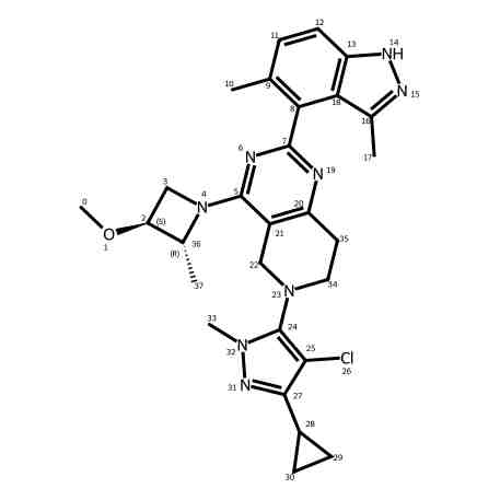 CO[C@H]1CN(c2nc(-c3c(C)ccc4[nH]nc(C)c34)nc3c2CN(c2c(Cl)c(C4CC4)nn2C)CC3)[C@@H]1C